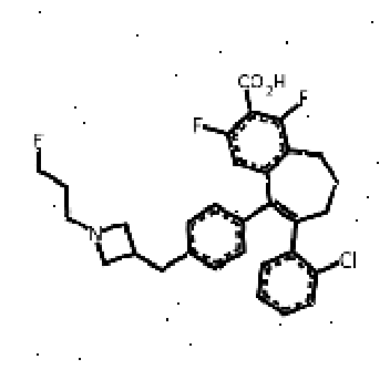 O=C(O)c1c(F)cc2c(c1F)CCCC(c1ccccc1Cl)=C2c1ccc(CC2CN(CCCF)C2)cc1